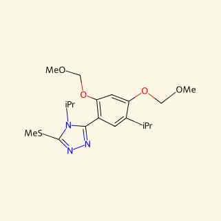 COCOc1cc(OCOC)c(C(C)C)cc1-c1nnc(SC)n1C(C)C